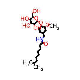 COc1cc(CNC(=O)CCCCCCC(C)C)ccc1O[C@@H]1O[C@H](CO)[C@@H](O)[C@H](O)[C@H]1O